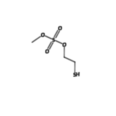 COS(=O)(=O)OCCS